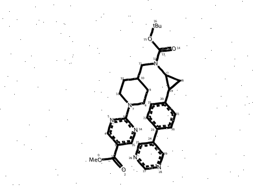 COC(=O)c1cnc(N2CCC(CN(C(=O)OC(C)(C)C)C3CC3c3ccc(-c4cncnc4)cc3)CC2)nc1